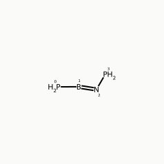 P/B=N/P